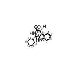 O=C(O)[C@H]1Cc2c([nH]c3ccccc23)[C@H](C2CCCCC2)N1